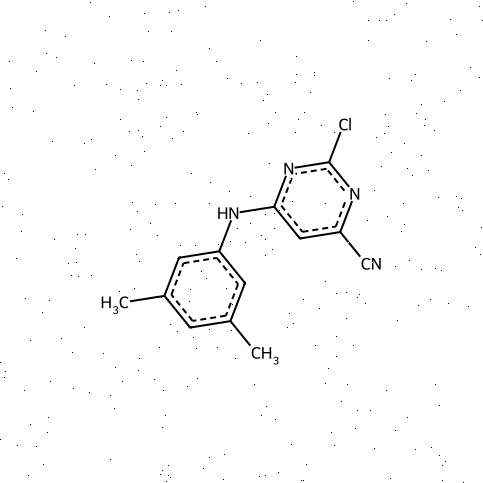 Cc1cc(C)cc(Nc2cc(C#N)nc(Cl)n2)c1